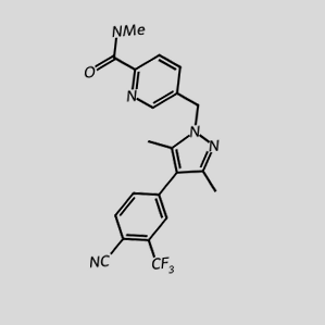 CNC(=O)c1ccc(Cn2nc(C)c(-c3ccc(C#N)c(C(F)(F)F)c3)c2C)cn1